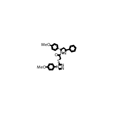 COc1ccc([C@@H]2CC(c3ccccc3)=NN2C(=O)CSc2nncn2-c2ccc(OC)cc2)cc1